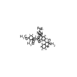 COc1ccc(CNS(=O)(=O)c2cc(C(C(N)=O)c3ccccc3F)ccc2-n2cnc(C(F)F)n2)c(OC)c1